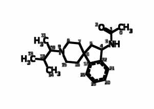 CC(=O)NC1CC2(CCN(C(C)C(C)C)CC2)c2ccccc21